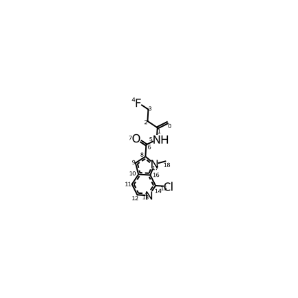 C=C(CCF)NC(=O)c1cc2ccnc(Cl)c2n1C